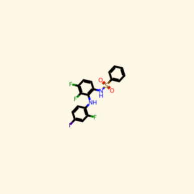 O=S(=O)(Nc1ccc(F)c(F)c1Nc1ccc(I)cc1F)c1ccccc1